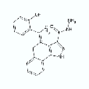 CC(=C1Cc2ccccc2-c2[nH]nc(C(=O)NN)c21)c1ccccc1O